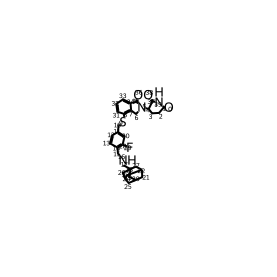 O=C1CCC(N2Cc3c(SCc4ccc(CNCC56CC7CC(CC(C7)C5)C6)c(F)c4)cccc3C2=O)C(=O)N1